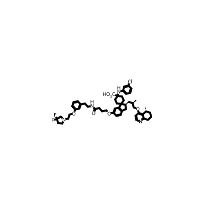 C[C@@H](COc1ccnc2c1[C@H](C)CCC2)C[C@H]1Cc2ccc(OCCCC(=O)NCCc3cccc(OCCN4CCC(F)(F)C4)c3)cc2C12CCC(Nc1cccc(Cl)c1)(C(=O)O)CC2